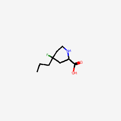 CCCC1(F)CCNC(C(=O)O)C1